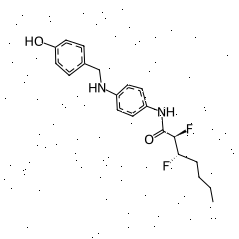 CCCC[C@H](F)[C@H](F)C(=O)Nc1ccc(NCc2ccc(O)cc2)cc1